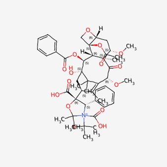 CO[C@H]1C(=O)[C@]2(C)[C@@H](OC)C[C@H]3OC[C@@]3(OC(C)=O)[C@H]2[C@H](OC(=O)c2ccccc2)[C@]2(O)C[C@H]([C@@]3(C(=O)O)OC(C)(C)[N+](C(=O)O)(C(C)(C)C)[C@H]3c3ccccc3)C(C)=C1C2(C)C